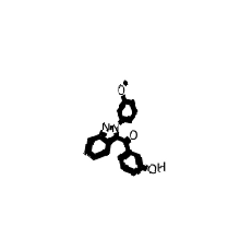 COc1cccc(-n2nc3ccccc3c2C(=O)c2cccc(O)c2)c1